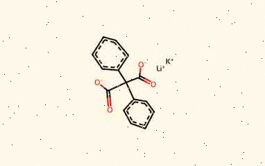 O=C([O-])C(C(=O)[O-])(c1ccccc1)c1ccccc1.[K+].[Li+]